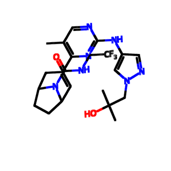 Cc1cnc(Nc2cnn(CC(C)(C)O)c2)nc1C1=CC2CCC(C1)N2C(=O)NCC(F)(F)F